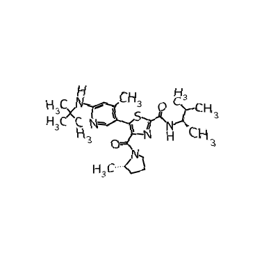 Cc1cc(NC(C)(C)C)ncc1-c1sc(C(=O)N[C@H](C)C(C)C)nc1C(=O)N1CCC[C@@H]1C